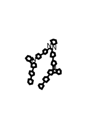 c1ccc(-c2ccc(-c3ccc4c(c3)c3ccccc3n4-c3ccc(-c4ccc(-c5nc6ccccc6nc5-c5ccc(-c6ccc(-n7c8ccccc8c8cc(-c9ccc(-c%10ccccc%10)cc9)ccc87)cc6)cc5)cc4)cc3)cc2)cc1